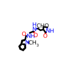 Cn1c(C(=O)NCC(=O)N[C@H](C=O)CC2CCNC2=O)cc2ccccc21